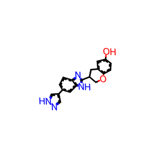 Oc1ccc2c(c1)CC(c1nc3ccc(-c4cn[nH]c4)cc3[nH]1)CO2